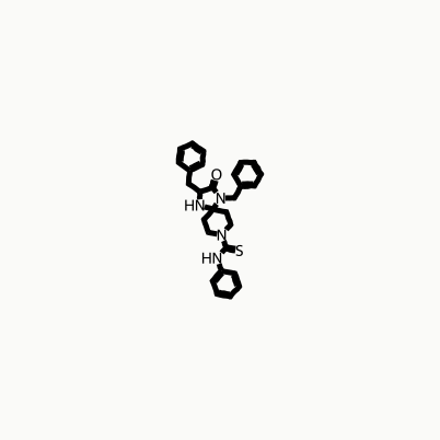 O=C1C(Cc2ccccc2)NC2(CCN(C(=S)Nc3ccccc3)CC2)N1Cc1ccccc1